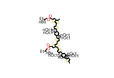 CCCCCCCC[Si]1(CCCCCCCC)c2cc3c(cc2-c2sc(C)cc21)[Si](CCCCCCCC)(CCCCCCCC)c1cc(-c2sc(-c4cc5c(s4)-c4cc6c(cc4[Si]5(CCCCCCCC)CCCCCCCC)-c4sc(-c5sc(C)c7cc(C(=O)OCC(CC)CCCC)sc57)cc4[Si]6(CCCCCCCC)CCCCCCCC)c4sc(C(=O)OCC(CC)CCCC)cc24)sc1-3